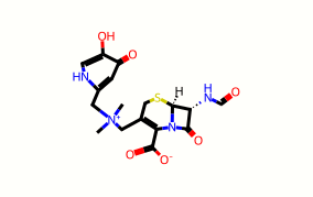 C[N+](C)(CC1=C(C(=O)[O-])N2C(=O)[C@@H](NC=O)[C@@H]2SC1)Cc1cc(=O)c(O)c[nH]1